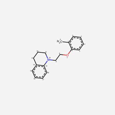 Cc1ccccc1OCCN1CCCc2ccccc21